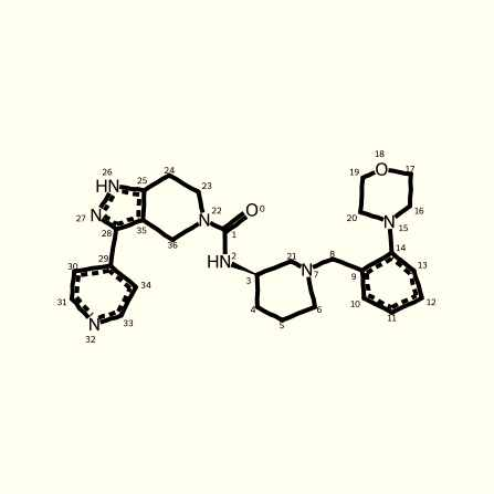 O=C(N[C@@H]1CCCN(Cc2ccccc2N2CCOCC2)C1)N1CCc2[nH]nc(-c3ccncc3)c2C1